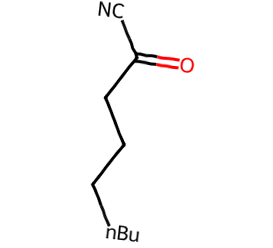 CCCCCCCC(=O)C#N